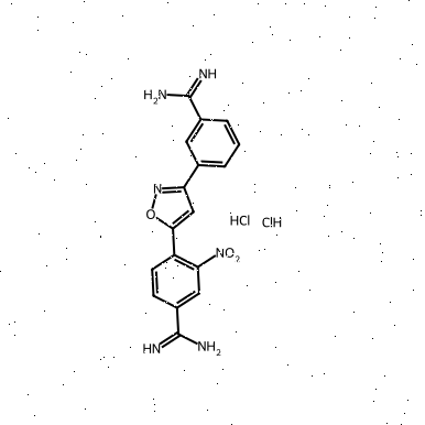 Cl.Cl.N=C(N)c1cccc(-c2cc(-c3ccc(C(=N)N)cc3[N+](=O)[O-])on2)c1